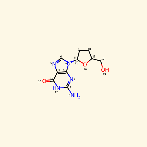 Nc1nc2c(ncn2[C@H]2CCC(CO)O2)c(=O)[nH]1